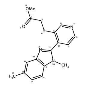 COC(=O)CSc1cnccc1-c1nc2cc(C(F)(F)F)ccc2n1C